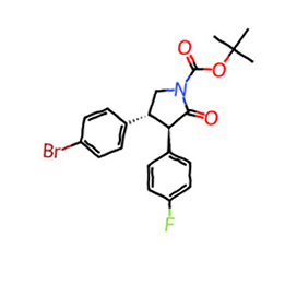 CC(C)(C)OC(=O)N1C[C@@H](c2ccc(Br)cc2)[C@H](c2ccc(F)cc2)C1=O